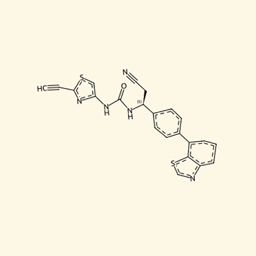 C#Cc1nc(NC(=O)N[C@@H](CC#N)c2ccc(-c3cccc4ncsc34)cc2)cs1